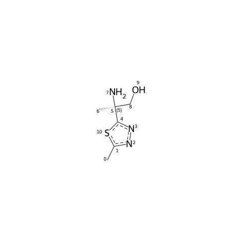 Cc1nnc([C@@](C)(N)CO)s1